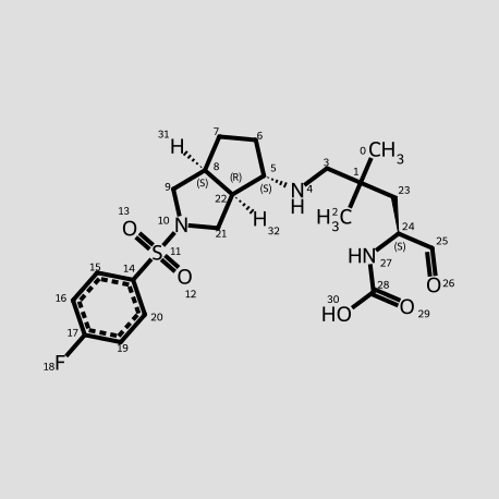 CC(C)(CN[C@H]1CC[C@@H]2CN(S(=O)(=O)c3ccc(F)cc3)C[C@@H]21)C[C@@H](C=O)NC(=O)O